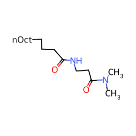 CCCCCCCCCCCC(=O)NCCC(=O)N(C)C